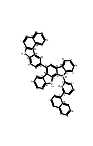 c1cc(-c2cccc3ccccc23)nc(-n2c3ccccc3c3cc(-c4ccc5sc6ccc7ccccc7c6c5c4)c4c5ccccc5sc4c32)c1